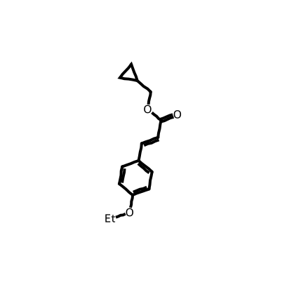 CCOc1ccc(C=CC(=O)OCC2CC2)cc1